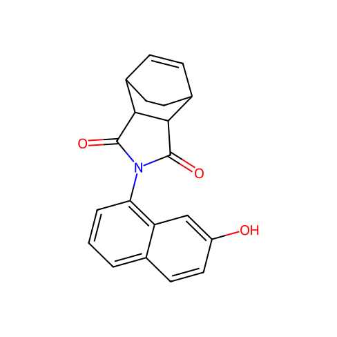 O=C1C2C3C=CC(CC3)C2C(=O)N1c1cccc2ccc(O)cc12